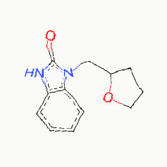 O=c1[nH]c2ccccc2n1CC1CCCO1